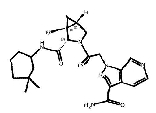 CC1(C)CCCC(NC(=O)[C@@H]2[C@@H]3C[C@@H]3CN2C(=O)Cn2nc(C(N)=O)c3ccncc32)C1